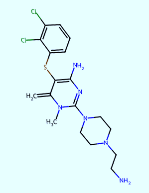 C=C1C(Sc2cccc(Cl)c2Cl)=C(N)N=C(N2CCN(CCN)CC2)N1C